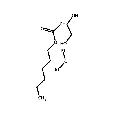 CCCCCCOC(C)=O.CCOCC.OCCO